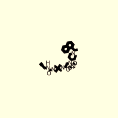 C#CCNC(=O)N1CC2(CN(C(=O)CN(C3CCN(C(C)c4cccc5ccccc45)CC3)S(C)(=O)=O)C2)C1